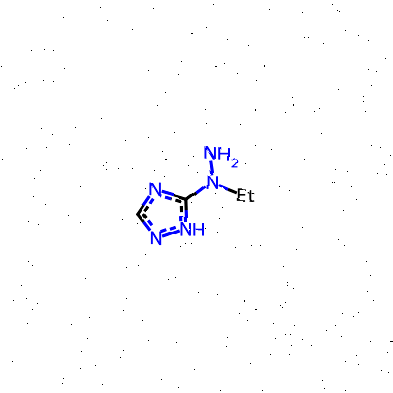 CCN(N)c1ncn[nH]1